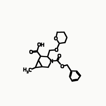 CC1C2CN(C(=O)OCc3ccccc3)C(COC3CCCCO3)C(C(=O)O)C12